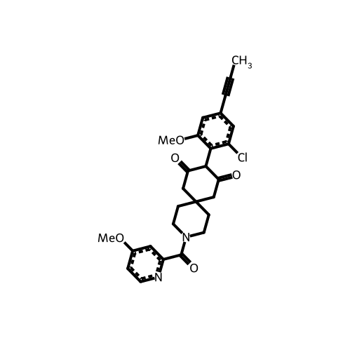 CC#Cc1cc(Cl)c(C2C(=O)CC3(CCN(C(=O)c4cc(OC)ccn4)CC3)CC2=O)c(OC)c1